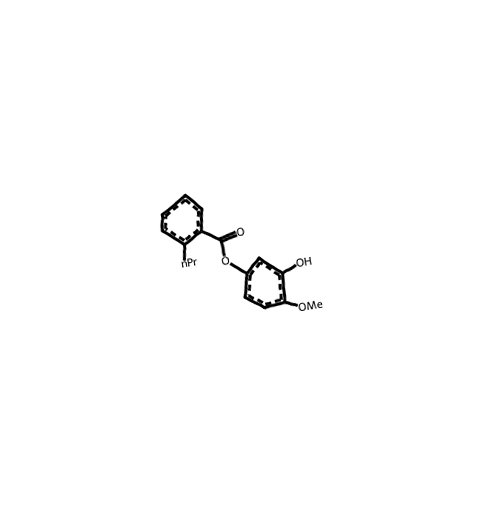 CCCc1ccccc1C(=O)Oc1ccc(OC)c(O)c1